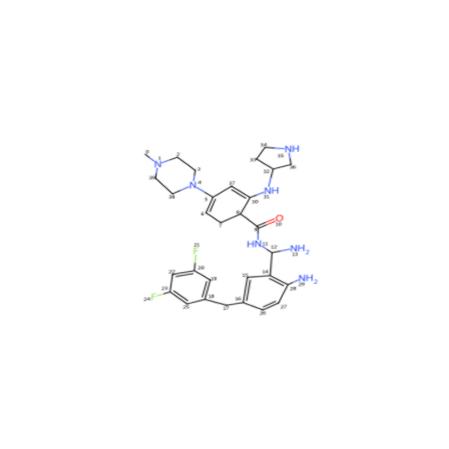 CN1CCN(C2=CCC(C(=O)NC(N)c3cc(Cc4cc(F)cc(F)c4)ccc3N)C(NC3CCNC3)=C2)CC1